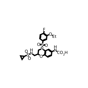 CCOc1cc(S(=O)(=O)N2CC(CNS(=O)(=O)C3CC3)Oc3ccc(NC(=O)O)cc32)ccc1F